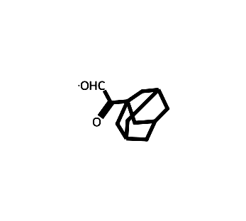 O=[C]C(=O)C12CC3CC(CC(C3)C1)C2